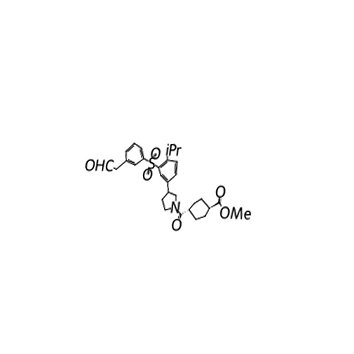 COC(=O)[C@H]1CC[C@H](C(=O)N2CCC(c3ccc(C(C)C)c(S(=O)(=O)c4cccc(CC=O)c4)c3)C2)CC1